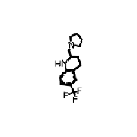 FC(F)(F)c1ccc2c(c1)CCC(CN1CCCC1)N2